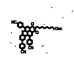 CCCCCCCCCCCCCCCCCn1c(=O)c2cc(-c3ccc(C#N)cc3)c3sc4ccc(-c5ccc(C#N)cc5)cc4c4c(-c5ccc(C#N)cc5)cc(c1=O)c2c34